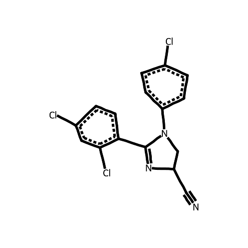 N#CC1CN(c2ccc(Cl)cc2)C(c2ccc(Cl)cc2Cl)=N1